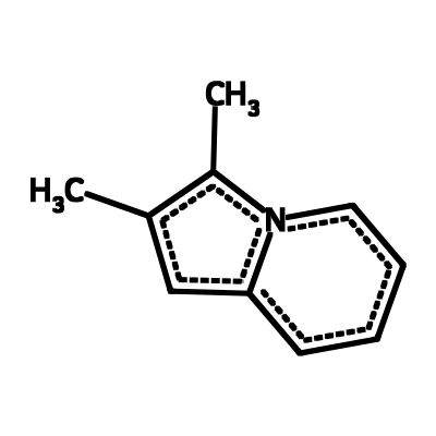 Cc1cc2ccccn2c1C